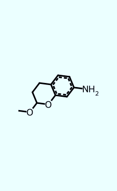 COC1CCc2ccc(N)cc2O1